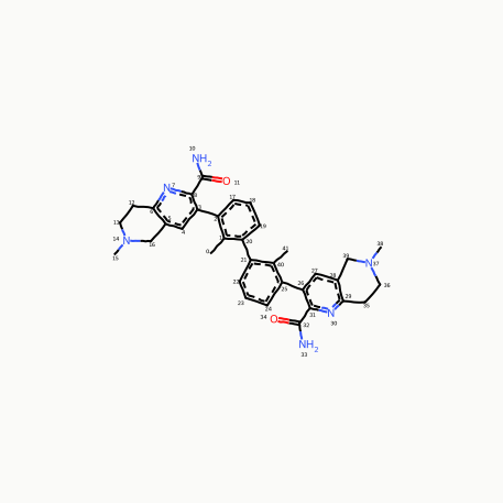 Cc1c(-c2cc3c(nc2C(N)=O)CCN(C)C3)cccc1-c1cccc(-c2cc3c(nc2C(N)=O)CCN(C)C3)c1C